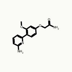 COc1cc(OCC(N)=O)ccc1-c1cccc(N)n1